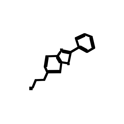 BrCCc1ccc2nc(-c3ccccc3)sc2c1